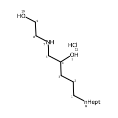 CCCCCCCCCCC(O)CNCCO.Cl